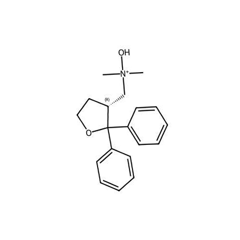 C[N+](C)(O)C[C@H]1CCOC1(c1ccccc1)c1ccccc1